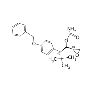 CC(C)(C)[C@@H](c1ccc(OCc2ccccc2)cc1)C(OC(N)=O)[C@H]1CO1